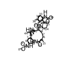 COC(=O)Nc1ccc2c(c1)NC(=O)[C@H](C)CCCC(C(=O)N1CCC[C@@]3(C1)OC(=O)Nc1ccc(C)c(F)c13)c1nc-2c(C)[nH]1